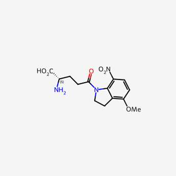 COc1ccc([N+](=O)[O-])c2c1CCN2C(=O)CC[C@H](N)C(=O)O